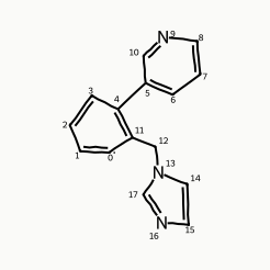 [c]1cccc(-c2cccnc2)c1Cn1ccnc1